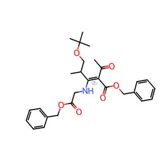 CC(=O)/C(C(=O)OCc1ccccc1)=C(/NCC(=O)OCc1ccccc1)C(C)COC(C)(C)C